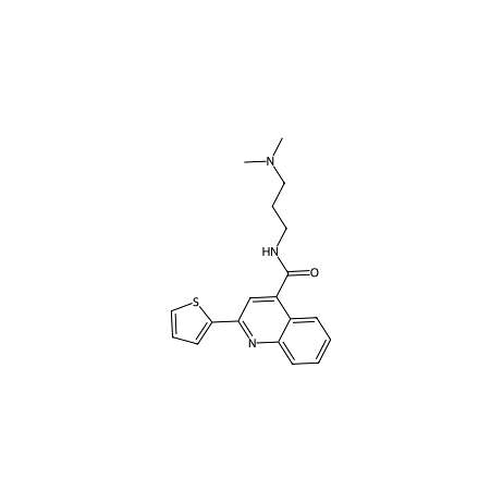 CN(C)CCCNC(=O)c1cc(-c2cccs2)nc2ccccc12